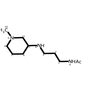 CC(=O)NCCCNC1CCCN(C)C1